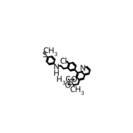 CSc1ccc(NCCc2cc(-c3cc(CC(C)S(C)(=O)=O)cc4cccnc34)ccc2Cl)cc1